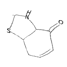 O=C1C=CCC2S[CH]NC12